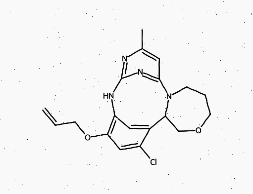 C=CCOc1cc(Cl)c2cc1Nc1nc(C)cc(n1)N1CCCOCC21